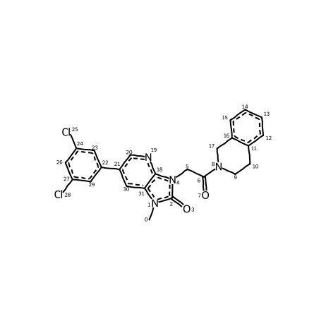 Cn1c(=O)n(CC(=O)N2CCc3ccccc3C2)c2ncc(-c3cc(Cl)cc(Cl)c3)cc21